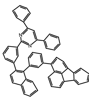 c1ccc(-c2cc(-c3ccccc3)nc(-c3cccc(-c4ccc5ccccc5c4-c4cccc(-c5ccc6c7c(cccc57)-c5ccccc5-6)c4)c3)n2)cc1